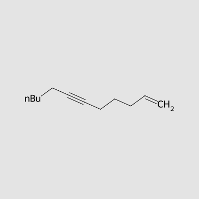 C=CCCCC#CCCCCC